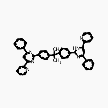 CC(C)(c1ccc(-c2nc(-c3ccccc3)cc(-c3ccccn3)n2)cc1)c1ccc(C2N=C(c3ccccc3)C=C(c3ccccn3)N2)cc1